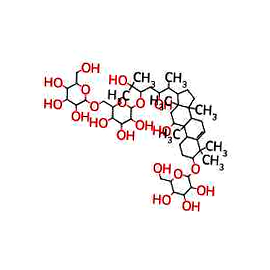 CC(C(O)CC(OC1OC(COC2OC(CO)C(O)C(O)C2O)C(O)C(O)C1O)C(C)(C)O)C1CCC2(C)C3CC=C4C(CCC(OC5OC(CO)C(O)C(O)C5O)C4(C)C)C3(C)C(O)CC12C